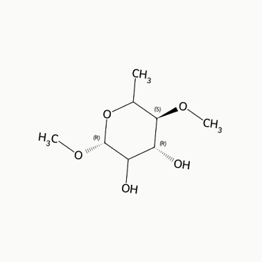 CO[C@@H]1OC(C)[C@@H](OC)[C@H](O)C1O